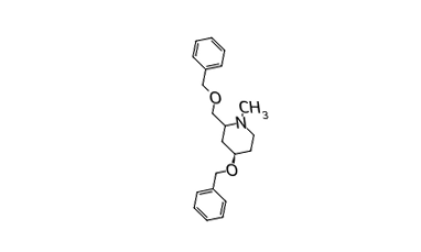 CN1CC[C@@H](OCc2ccccc2)CC1COCc1ccccc1